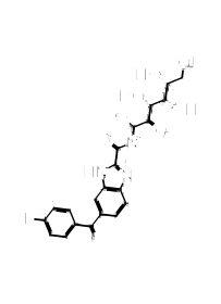 O=C(c1ccc(F)cc1)c1ccc2nc(C(=O)NC(O)C(=O)[C@@H](O)[C@H](O)[C@H](O)CO)[nH]c2c1